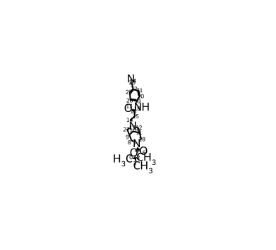 CC(C)(C)OC(=O)N1CC2CC(CN(CCC(=O)Nc3ccc(C#N)cc3)C2)C1